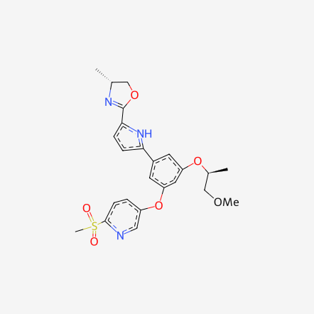 COC[C@H](C)Oc1cc(Oc2ccc(S(C)(=O)=O)nc2)cc(-c2ccc(C3=N[C@H](C)CO3)[nH]2)c1